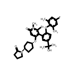 CCc1c(-c2cc(C(C)(C)O)ccc2Oc2c(C)cc(F)cc2C)c(O[C@H]2CC[C@H](N3CCCC3=O)CC2)cc(=O)n1C